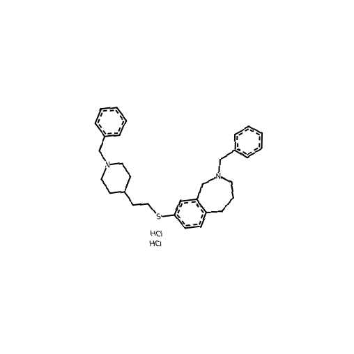 Cl.Cl.c1ccc(CN2CCC(CCSc3ccc4c(c3)CN(Cc3ccccc3)CCC4)CC2)cc1